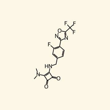 CN(C)c1c(NCc2ccc(-c3noc(C(F)(F)F)n3)c(F)c2)c(=O)c1=O